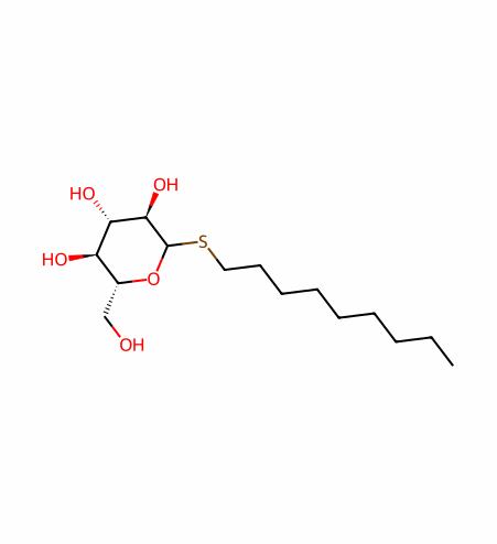 CCCCCCCCCSC1O[C@H](CO)[C@@H](O)[C@H](O)[C@H]1O